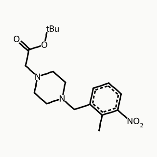 Cc1c(CN2CCN(CC(=O)OC(C)(C)C)CC2)cccc1[N+](=O)[O-]